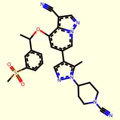 Cc1c(-c2cc(OC(C)c3cccc(S(C)(=O)=O)c3)c3c(C#N)cnn3c2)cnn1C1CCN(C#N)CC1